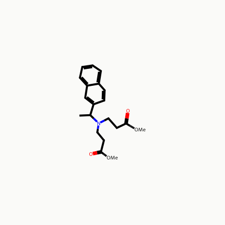 COC(=O)CCN(CCC(=O)OC)C(C)c1ccc2ccccc2c1